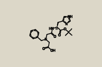 CC(C)(C)OC(=O)[C@H](Cc1c[nH]cn1)NC(=O)CN(CC(=O)O)Cc1ccccc1